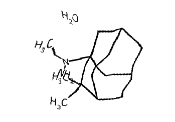 CN(N)C12CC3CC(CC(C3)C1(C)C)C2.O